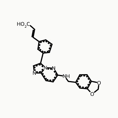 O=C(O)/C=C/c1cccc(-c2cnc3ccc(NCc4ccc5c(c4)OCO5)nn23)c1